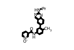 Cc1ccc(NC(=O)c2ccc[n+]([O-])c2)cc1-c1ccc2nc(NC(C)C)ncc2c1